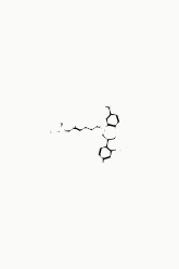 CCCc1cc(Cl)ccc1C1COc2ccc(C(C)O)cc2N(CCC/C=C/CN(C)C(C)=O)C1